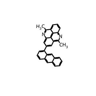 Cc1nc2cc(-c3cccc4cc5ccccc5cc34)cc3c(C)nc4cccc1c4c23